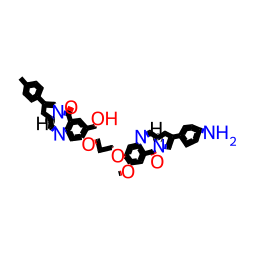 COc1cc2c(cc1OCCCOc1cc3c(cc1CO)C(=O)N1C=C(c4ccc(C)cc4)C[C@H]1C=N3)N=C[C@@H]1CC(c3ccc(N)cc3)=CN1C2=O